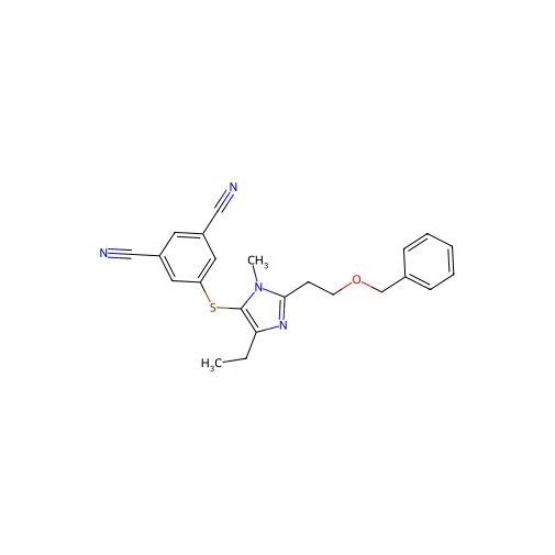 CCc1nc(CCOCc2ccccc2)n(C)c1Sc1cc(C#N)cc(C#N)c1